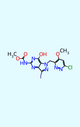 COC(=O)Nc1nc(O)c2c(n1)c(I)nn2Cc1nnc(Cl)cc1OC